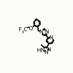 Cc1[nH]nnc1-c1ccnc(-c2cn(Cc3ccccc3OCC(F)(F)F)cn2)c1